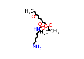 C=CC(=O)CCCC(COC(=O)C(=C)C)OC(=O)NCCCCCCN